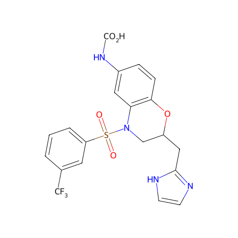 O=C(O)Nc1ccc2c(c1)N(S(=O)(=O)c1cccc(C(F)(F)F)c1)CC(Cc1ncc[nH]1)O2